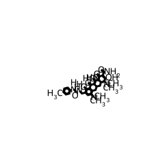 Cc1ccc(NC(=O)NCc2cc(N(C)C)c3c(c2O)C(=O)C2=C(O)[C@]4(O)C(=O)C(C(N)=O)=C(O)[C@@H](N(C)C)C4CC2C3)cc1